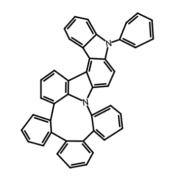 c1ccc(-n2c3ccccc3c3c4c5cccc6c7ccccc7c7ccccc7c7ccccc7n(c4ccc32)c65)cc1